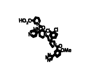 COc1ccc(C2C=NN=N2)cc1C(=O)N1CCC(CCN2CCC(NC(=O)N3CCCC(C(=O)O)C3)(c3ccncc3)CC2)(c2ccc(Cl)c(Cl)c2)C1